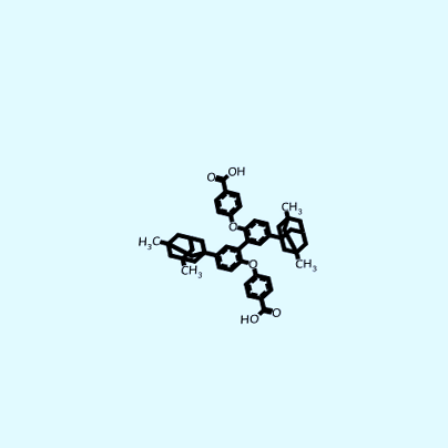 CC12CC3CC(C)(C1)CC(c1ccc(Oc4ccc(C(=O)O)cc4)c(-c4cc(C56CC7CC(C)(CC(C)(C7)C5)C6)ccc4Oc4ccc(C(=O)O)cc4)c1)(C3)C2